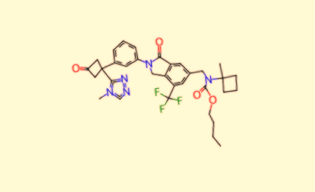 CCCCOC(=O)N(Cc1cc2c(c(C(F)(F)F)c1)CN(c1cccc(C3(c4nncn4C)CC(=O)C3)c1)C2=O)C1(C)CCC1